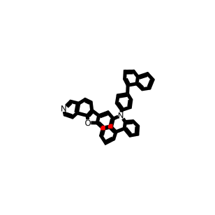 c1ccc(-c2ccccc2N(c2ccc(-c3cccc4ccccc34)cc2)c2ccc3oc4c5ccncc5ccc4c3c2)cc1